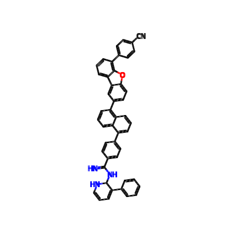 N#Cc1ccc(-c2cccc3c2oc2ccc(-c4cccc5c(-c6ccc(C(=N)NC7NC=CC=C7c7ccccc7)cc6)cccc45)cc23)cc1